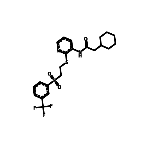 O=C(CC1CCCCC1)Nc1cccnc1SCCS(=O)(=O)c1cccc(C(F)(F)F)c1